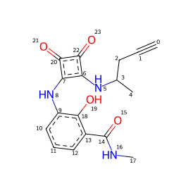 C#CCC(C)Nc1c(Nc2cccc(C(=O)NC)c2O)c(=O)c1=O